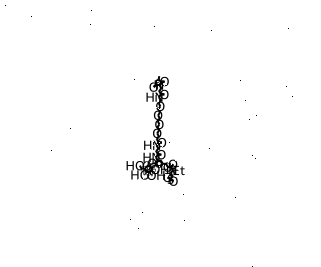 CCN(CCS(C)(=O)=O)C(=O)OCc1ccc(O[C@@H]2O[C@H](CO)[C@H](O)[C@H](O)[C@H]2O)c(NC(=O)CCNC(=O)CCOCCOCCOCCOCCNC(=O)CCN2C(=O)CC(C)C2=O)c1